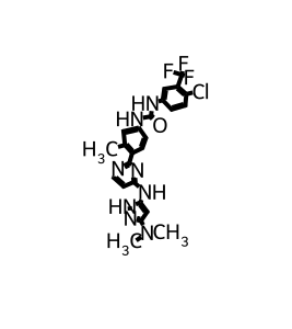 Cc1cc(NC(=O)Nc2ccc(Cl)c(C(F)(F)F)c2)ccc1-c1nccc(Nc2cc(N(C)C)n[nH]2)n1